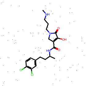 CNCCCN1CC(C(=O)NC(C)CCc2ccc(Cl)c(Cl)c2)=C(O)C1=O